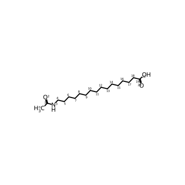 CC(=O)NCCCCCCCCCCCCCCCC(=O)O